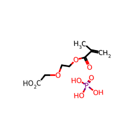 C=C(C)C(=O)OCCOCC(=O)O.O=P(O)(O)O